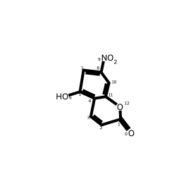 O=c1ccc2c(O)cc([N+](=O)[O-])cc2o1